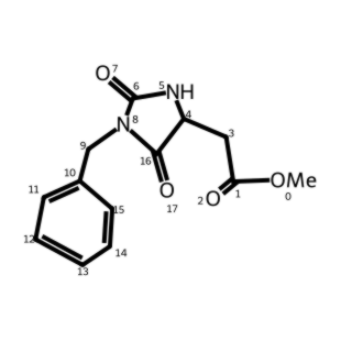 COC(=O)CC1NC(=O)N(Cc2ccccc2)C1=O